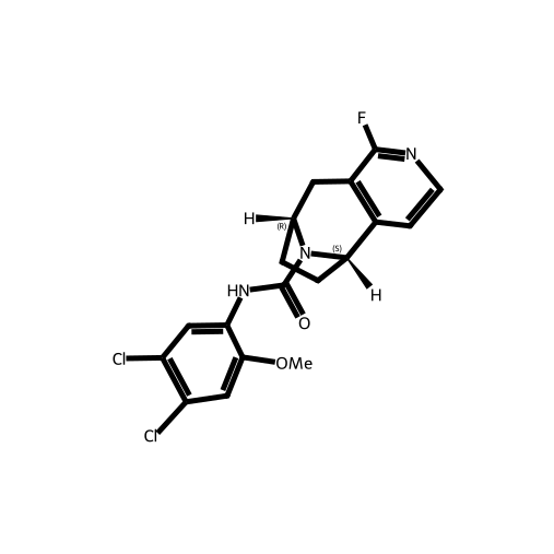 COc1cc(Cl)c(Cl)cc1NC(=O)N1[C@@H]2CC[C@H]1c1ccnc(F)c1C2